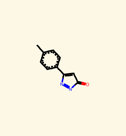 Cc1ccc(C2=CC(=O)N=N2)cc1